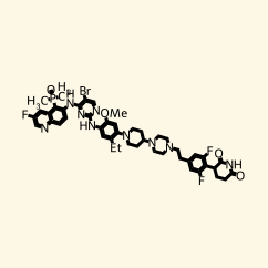 CCc1cc(Nc2ncc(Br)c(Nc3ccc4ncc(F)cc4c3P(C)(C)=O)n2)c(OC)cc1N1CCC(N2CCN(CCc3cc(F)c(C4CCC(=O)NC4=O)c(F)c3)CC2)CC1